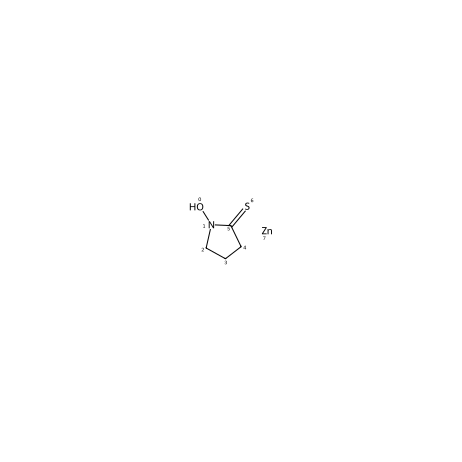 ON1CCCC1=S.[Zn]